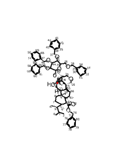 CC(C)[C@@H](C)[C@@]1(C)CC[C@]2(C)[C@H]3CC[C@@H]4[C@@]5(COC[C@]4(C)[C@@H](O[C@@H]4OC(COCc6ccccc6)[C@H](OCc6ccccc6)[C@H](OCc6ccccc6)C4OCc4ccccc4)[C@H](O)C5)C3=CC[C@@]2(C)[C@@H]1C(=O)OCc1ccccc1